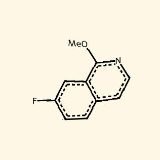 COc1nccc2c[c]c(F)cc12